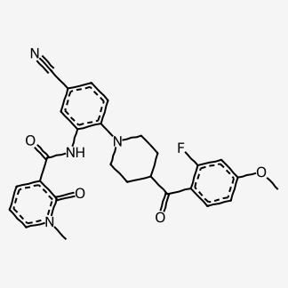 COc1ccc(C(=O)C2CCN(c3ccc(C#N)cc3NC(=O)c3cccn(C)c3=O)CC2)c(F)c1